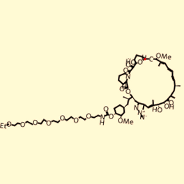 CCOCCOCCOCCOCCOCCOCCOCCNC(=O)O[C@@H]1CC[C@@H](C[C@@H](C)[C@@H]2CC(N=[N+]=[N-])C(C)/C=C(\C)[C@@H](O)[C@@H](O)C(=O)C(C)C[C@H](C)/C=C/C=C/C=C(\C)[C@@H](OC)C[C@@H]3CC[C@@H](C)[C@@](O)(O3)C(=O)C(=O)N3CCCC[C@H]3C(=O)O2)C[C@H]1OC